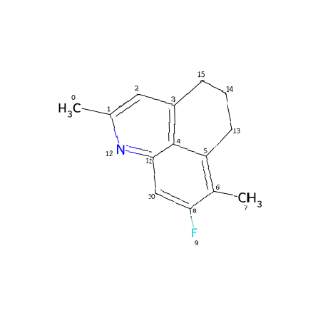 Cc1cc2c3c(c(C)c(F)cc3n1)CCC2